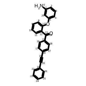 Nc1cccc(Oc2ccccc2C(=O)c2ccc(C#Cc3ccccc3)cc2)c1